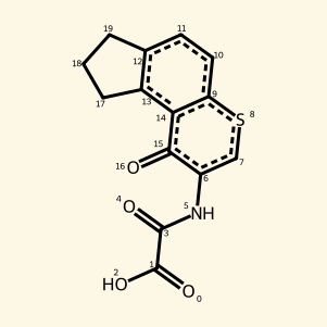 O=C(O)C(=O)Nc1csc2ccc3c(c2c1=O)CCC3